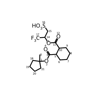 CC1(OC(=O)C2CCCCC2C(=O)OC(CS(=O)(=O)O)C(F)(F)F)CCCC1